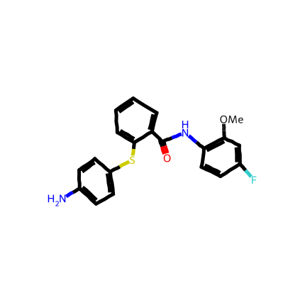 COc1cc(F)ccc1NC(=O)c1ccccc1Sc1ccc(N)cc1